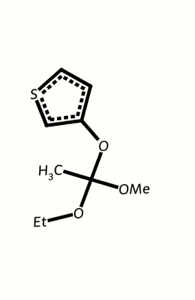 CCOC(C)(OC)Oc1ccsc1